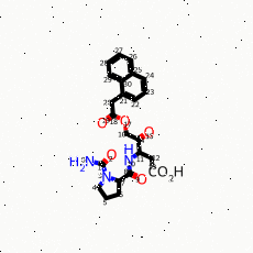 NC(=O)N1CCCC1C(=O)NC(CC(=O)O)C(=O)COC(=O)Cc1cccc2ccccc12